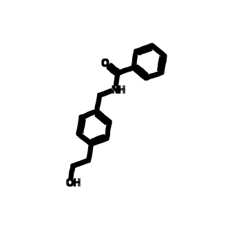 O=C(NCc1ccc(CCO)cc1)c1ccccc1